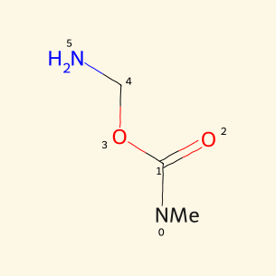 CNC(=O)OCN